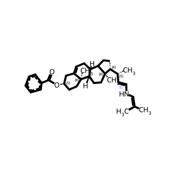 CC(C)=CN/C=C/[C@@H](C)[C@H]1CCC2[C@@H]3CC=C4C[C@@H](OC(=O)c5ccccc5)CC[C@]4(C)[C@H]3CC[C@@]21C